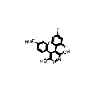 COc1ccc(-c2c(O)nnc(O)c2-c2c(F)cc(F)cc2F)cc1